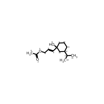 CC(=O)OCC=CC1(O)CCCC(C(C)C)C1